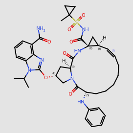 CC(C)n1c(O[C@@H]2C[C@H]3C(=O)N[C@]4(C(=O)NS(=O)(=O)C5(C)CC5)C[C@H]4/C=C\CCCCC[C@H](Nc4ccccc4)C(=O)N3C2)nc2c(C(N)=O)cccc21